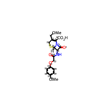 COCC1=C(C(=O)O)N2C(=O)C(NC(=O)COc3ccc(OC)cc3)[C@@H]2SC1